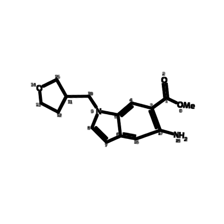 COC(=O)c1cc2c(ccn2CC2CCOC2)cc1N